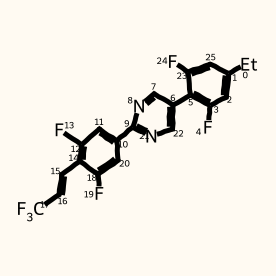 CCc1cc(F)c(-c2cnc(-c3cc(F)c(/C=C/C(F)(F)F)c(F)c3)nc2)c(F)c1